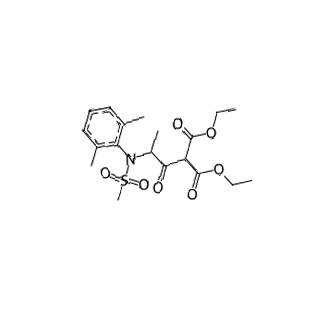 CCOC(=O)C(C(=O)OCC)C(=O)C(C)N(c1c(C)cccc1C)S(C)(=O)=O